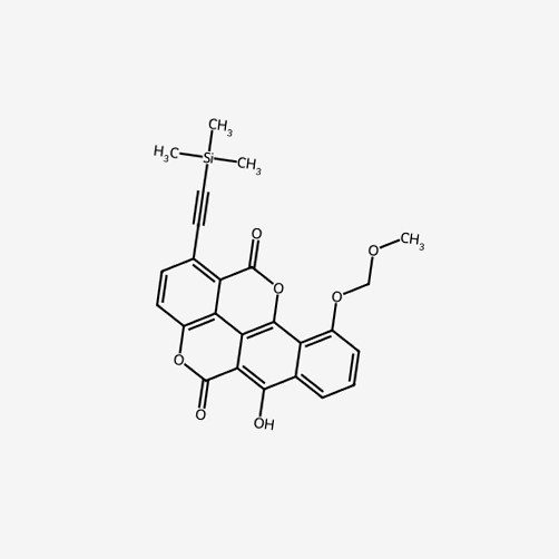 COCOc1cccc2c(O)c3c(=O)oc4ccc(C#C[Si](C)(C)C)c5c(=O)oc(c12)c3c45